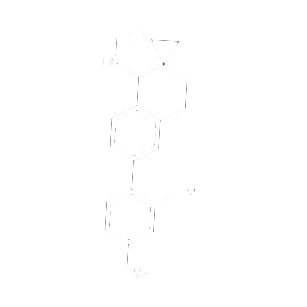 COc1ccc(-c2ccc3c(c2)CCC2(CC2)C3NC(=O)O)c(OC)c1